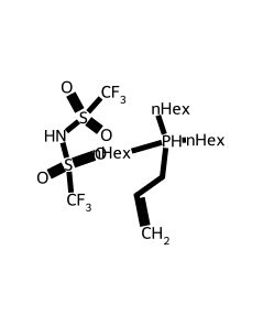 C=CC[PH](CCCCCC)(CCCCCC)CCCCCC.O=S(=O)(NS(=O)(=O)C(F)(F)F)C(F)(F)F